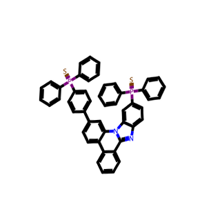 S=P(c1ccccc1)(c1ccccc1)c1ccc(-c2ccc3c4ccccc4c4nc5ccc(P(=S)(c6ccccc6)c6ccccc6)cc5n4c3c2)cc1